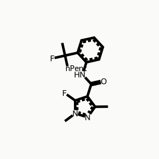 CCCCCC(C)(F)c1ccccc1NC(=O)c1c(C)nn(C)c1F